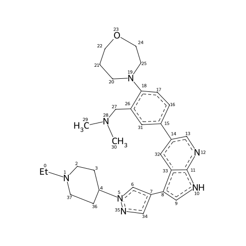 CCN1CCC(n2cc(-c3c[nH]c4ncc(-c5ccc(N6CCCOCC6)c(CN(C)C)c5)cc34)cn2)CC1